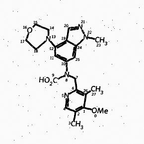 COc1c(C)cnc(CN(C(=O)O)c2cc(N3CCOCC3)c3cnn(C)c3c2)c1C